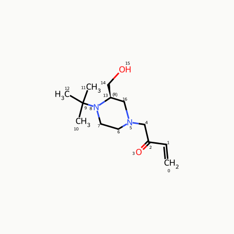 C=CC(=O)CN1CCN(C(C)(C)C)[C@@H](CO)C1